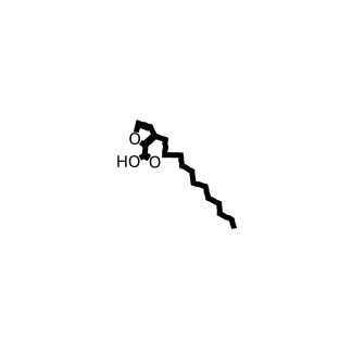 CCCCCCCCCCCCc1ccoc1C(=O)O